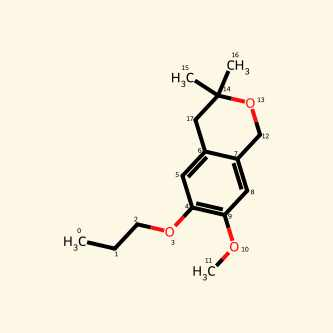 CCCOc1cc2c(cc1OC)COC(C)(C)C2